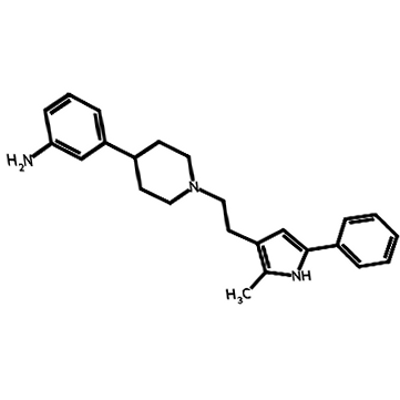 Cc1[nH]c(-c2ccccc2)cc1CCN1CCC(c2cccc(N)c2)CC1